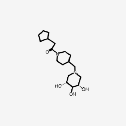 O=C(CC1CCCC1)N1CCC(CN2C[C@@H](O)C(O)[C@@H](O)C2)CC1